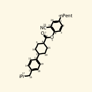 CCCCCc1ccc(OC(=O)C2CCC(c3ccc(CC(C)C)cc3)CC2)c(C#N)c1